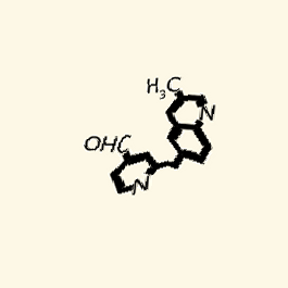 Cc1cnc2ccc(Cc3cc(C=O)ccn3)cc2c1